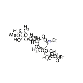 CC/C=C/[C@H]1CCC[C@H](OC2CCC([N+](C)(C)COC(=O)C(C)C)C(C)O2)[C@@H](C)C(=O)C2=C[C@H]3[C@@H]4C[C@H](OC5OC(C)C(C)C(OC)C5CO)C[C@H]4C=C[C@H]3C2CC(=O)O1